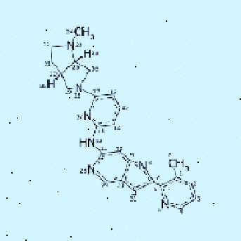 Cc1cccnc1-c1nc2cc(Nc3cccc(N4C[C@@H]5CCN(C)[C@@H]5C4)n3)ncc2s1